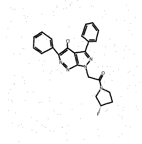 O=C(Cn1nc(-c2ccccc2)c2c(Cl)c(-c3ccccc3)nnc21)N1CC[C@H](F)C1